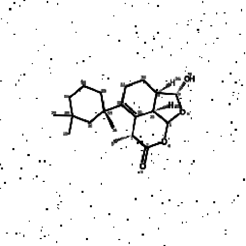 C[C@H]1C(=O)OC2O[C@@H](O)[C@@H]3CCC([C@@]4(C)CCCC(C)(C)C4)=C1[C@H]23